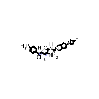 C=C(NC(=O)N1CC2CC(N3CC(F)C3)CC2C1)/C(N)=C\C=C(/C)c1ccc(P)cc1